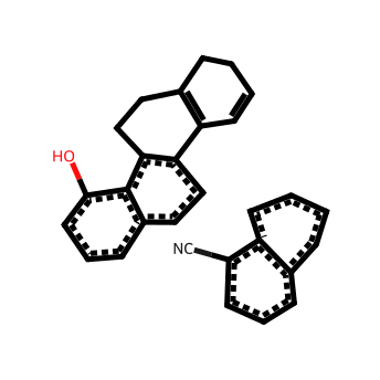 N#Cc1cccc2ccccc12.Oc1cccc2ccc3c(c12)CCC1=C3C=CCC1